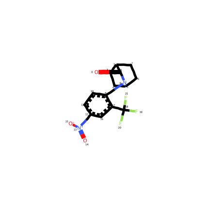 O=C1C2CCC(CC2)N1c1ccc([N+](=O)[O-])cc1C(F)(F)F